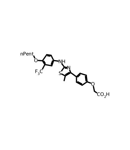 CCCCCOc1ccc(Nc2nc(-c3ccc(OCC(=O)O)cc3)c(C)s2)cc1C(F)(F)F